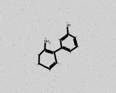 CC(C)c1cccc(C2=C(N)CCC=C2)c1